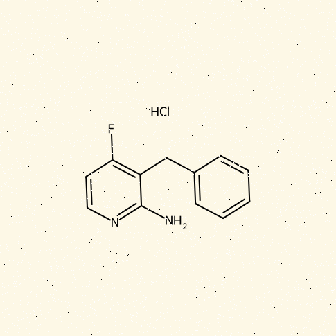 Cl.Nc1nccc(F)c1Cc1ccccc1